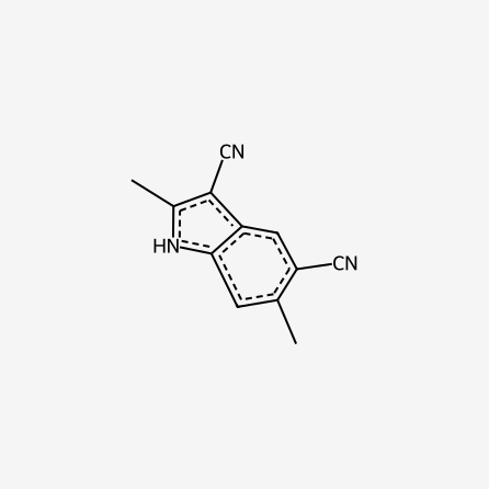 Cc1cc2[nH]c(C)c(C#N)c2cc1C#N